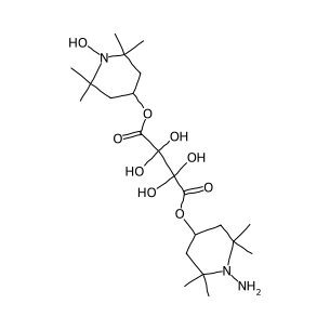 CC1(C)CC(OC(=O)C(O)(O)C(O)(O)C(=O)OC2CC(C)(C)N(O)C(C)(C)C2)CC(C)(C)N1N